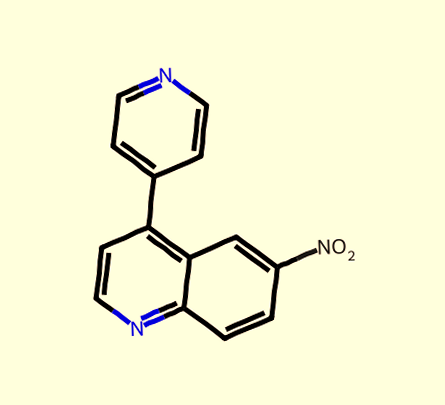 O=[N+]([O-])c1ccc2nccc(-c3ccncc3)c2c1